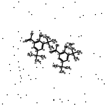 CC(C)(C)c1cc(C(=O)[O-])c(N)c(C(C)(C)C)c1.CC(C)(C)c1cc(C(=O)[O-])c(N)c(C(C)(C)C)c1.[Zn+2]